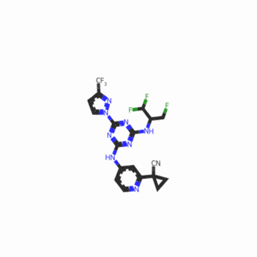 N#CC1(c2cc(Nc3nc(NC(CF)C(F)F)nc(-n4ccc(C(F)(F)F)n4)n3)ccn2)CC1